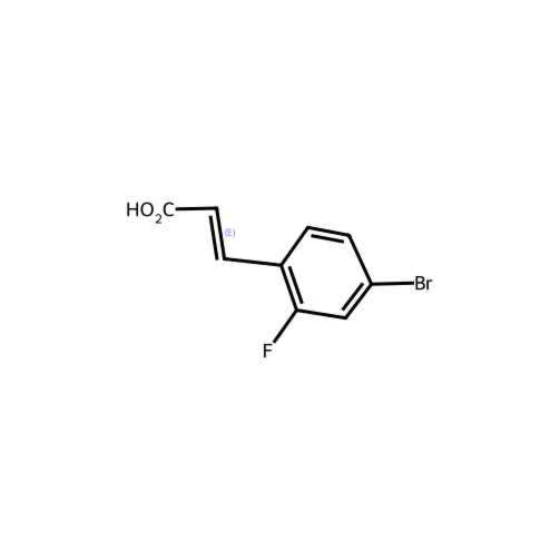 O=C(O)/C=C/c1ccc(Br)cc1F